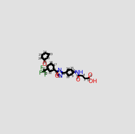 O=C(O)CCC(=O)Nc1ccc(-c2noc(-c3ccc(Oc4ccccc4)c(C(F)(F)F)c3)n2)cc1